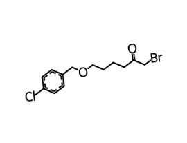 O=C(CBr)CCCCOCc1ccc(Cl)cc1